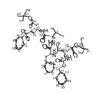 CC(C)[C@H](NC(=O)C(Cc1ccccn1)NC(=O)[C@H](CC(=O)OC(C)(C)C)NC(=O)OCc1ccccc1)C(=O)N[C@H](/C=C/S(=O)(=O)c1ccccc1)CC(=O)OC(C)(C)C